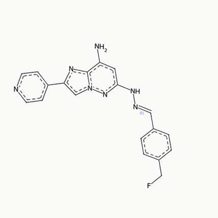 Nc1cc(N/N=C/c2ccc(CF)cc2)nn2cc(-c3ccncc3)nc12